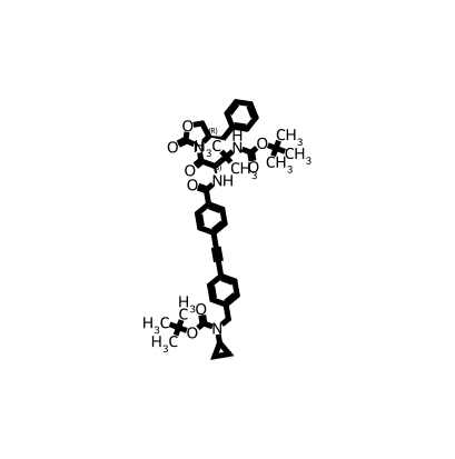 CC(C)(C)OC(=O)NC(C)(C)[C@H](NC(=O)c1ccc(C#Cc2ccc(CN(C(=O)OC(C)(C)C)C3CC3)cc2)cc1)C(=O)N1C(=O)OC[C@H]1Cc1ccccc1